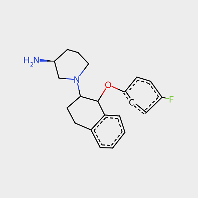 N[C@H]1CCCN(C2CCc3ccccc3C2Oc2ccc(F)cc2)C1